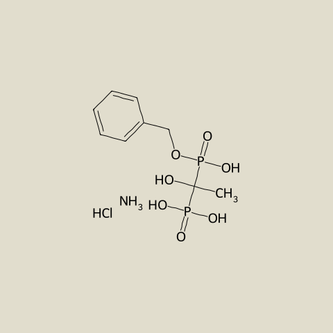 CC(O)(P(=O)(O)O)P(=O)(O)OCc1ccccc1.Cl.N